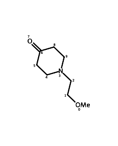 COCCN1CCC(=O)CC1